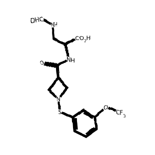 O=CNCC(NC(=O)C1CN(Sc2cccc(OC(F)(F)F)c2)C1)C(=O)O